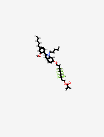 C=C(C)C(=O)OCCC(F)(F)C(F)(F)C(F)(F)C(F)(F)CCOc1ccc2cc(-c3ccc(CCCCC)cc3OC)n(CCCCC)c2c1